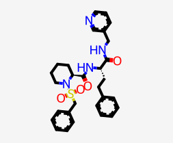 O=C(NCc1cccnc1)[C@H](CCc1ccccc1)NC(=O)[C@@H]1CCCCN1S(=O)(=O)Cc1ccccc1